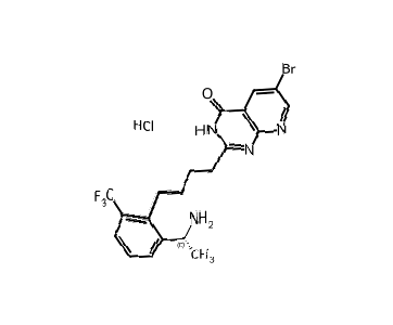 C[C@@H](N)c1cccc(C(F)(F)F)c1CCCCc1nc2ncc(Br)cc2c(=O)[nH]1.Cl